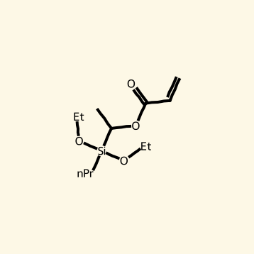 C=CC(=O)OC(C)[Si](CCC)(OCC)OCC